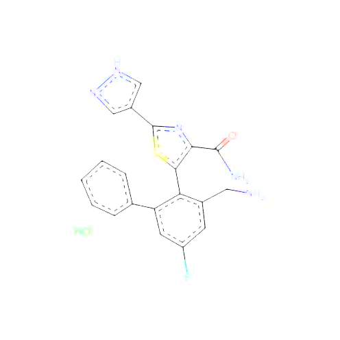 Cl.NCc1cc(F)cc(-c2ccccc2)c1-c1sc(-c2cn[nH]c2)nc1C(N)=O